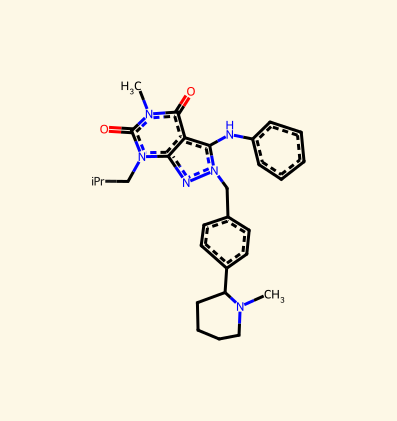 CC(C)Cn1c(=O)n(C)c(=O)c2c(Nc3ccccc3)n(Cc3ccc(C4CCCCN4C)cc3)nc21